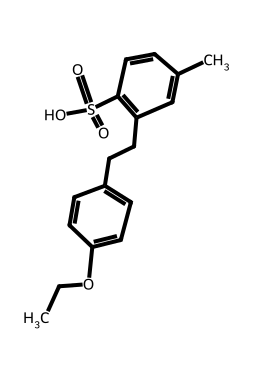 CCOc1ccc(CCc2cc(C)ccc2S(=O)(=O)O)cc1